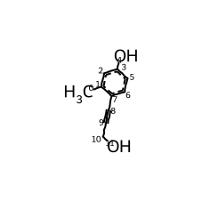 Cc1cc(O)ccc1C#CCO